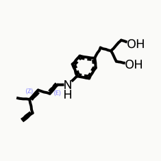 C=C/C(C)=C\C=C\Nc1ccc(CC(CO)CO)cc1